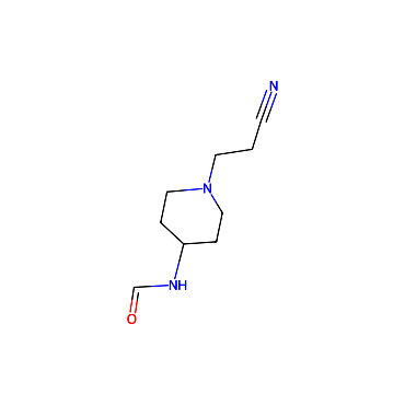 N#CCCN1CCC(NC=O)CC1